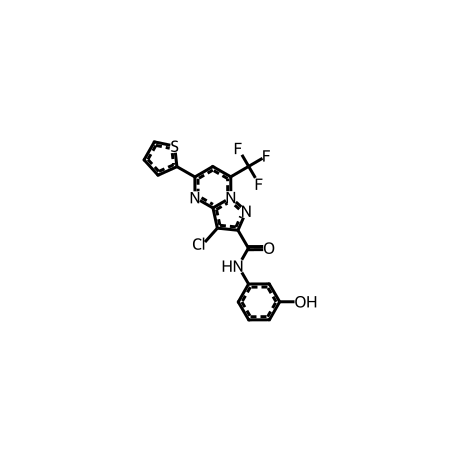 O=C(Nc1cccc(O)c1)c1nn2c(C(F)(F)F)cc(-c3cccs3)nc2c1Cl